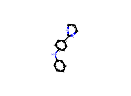 c1ccc(Nc2ccc(-c3ncccn3)cc2)cc1